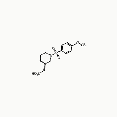 O=C(O)C=C1CCCN(S(=O)(=O)c2ccc(OC(F)(F)F)cc2)C1